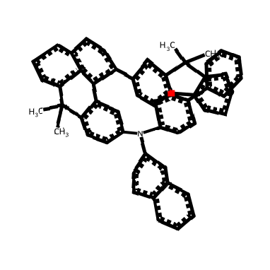 CC1(C)c2ccccc2-c2ccc(-c3ccc4cccc5c4c3-c3cc(N(c4ccc(-c6ccccc6)cc4)c4ccc6ccccc6c4)ccc3C5(C)C)cc21